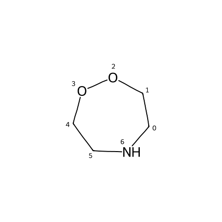 C1COOCCN1